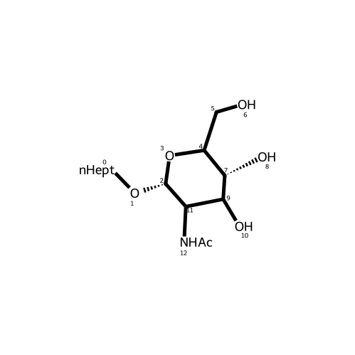 CCCCCCCO[C@@H]1OC(CO)[C@H](O)C(O)C1NC(C)=O